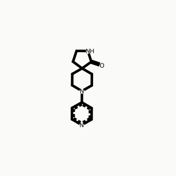 O=C1NCCC12CCN(c1ccncc1)CC2